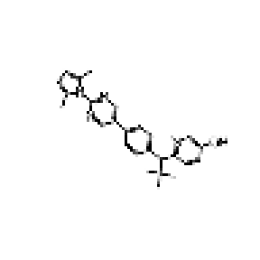 Cc1ccc(C)n1-c1ncc(-c2ccc(C(c3ccc(O)cn3)C(C)(C)C)cc2)cn1